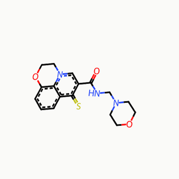 O=C(NCN1CCOCC1)c1cn2c3c(cccc3c1=S)OCC2